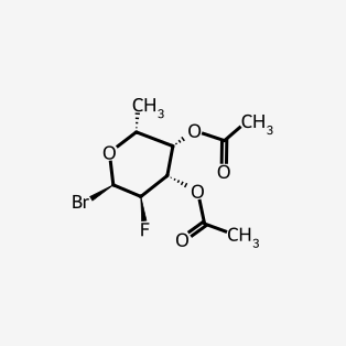 CC(=O)O[C@@H]1[C@@H](F)[C@@H](Br)O[C@H](C)[C@@H]1OC(C)=O